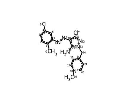 Cc1ccc(Cl)cc1N=Nc1cnn(Cc2cc[n+](C)cc2)c1N.[Cl-]